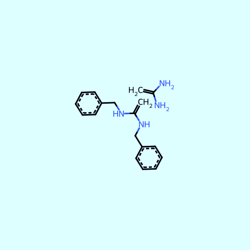 C=C(N)N.C=C(NCc1ccccc1)NCc1ccccc1